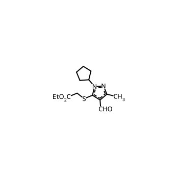 CCOC(=O)CSc1c(C=O)c(C)nn1C1CCCC1